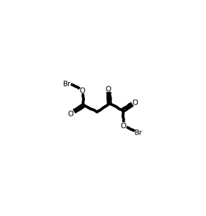 O=C(CC(=O)C(=O)OBr)OBr